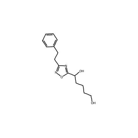 OCCCCC(O)c1nc(CCc2ccccc2)no1